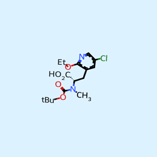 CCOc1ncc(Cl)cc1C[C@@H](C(=O)O)N(C)C(=O)OC(C)(C)C